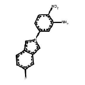 Nc1cc(-n2cc3ccc(F)cc3c2)ccc1[N+](=O)[O-]